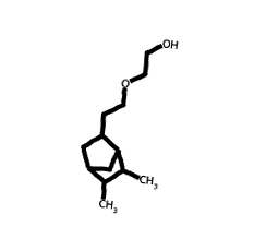 CC1C2CC(CCOCCO)C(C2)C1C